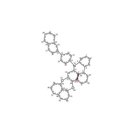 c1ccc(-c2ccccc2N(c2ccc(-c3ccc4ccccc4c3)cc2)c2ccc3c(c2)Oc2cccc4cccc(c24)O3)cc1